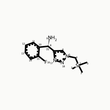 C[Si](C)(C)Cn1cc([C@@H](N)c2ccccc2F)nn1